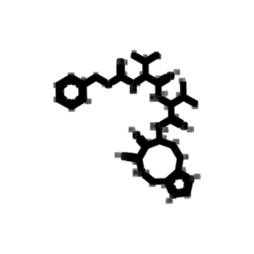 CC(C)C(NC(=O)OCc1ccccc1)C(=O)NC(C(=O)NC1CCc2ocnc2CNC(=O)C1=O)C(C)C